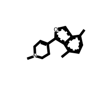 Cc1ccc(C)c2c(C3=CCN(C)CC3)occ12